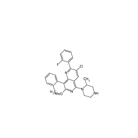 COc1nc(N2CCNCC2C)c2cc(Cl)c(-c3ccccc3F)nc2c1-c1ccccc1C